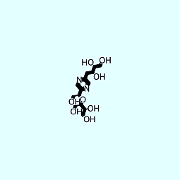 OC[C@H](O[C@H](CO)[C@H](O)CO)c1cnc(C[C@H](O)[C@H](O)CO)cn1